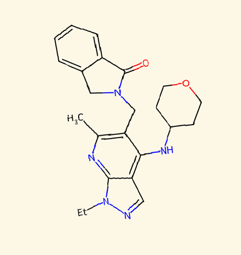 CCn1ncc2c(NC3CCOCC3)c(CN3Cc4ccccc4C3=O)c(C)nc21